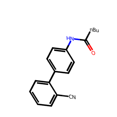 CCCCC(=O)Nc1ccc(-c2ccccc2C#N)cc1